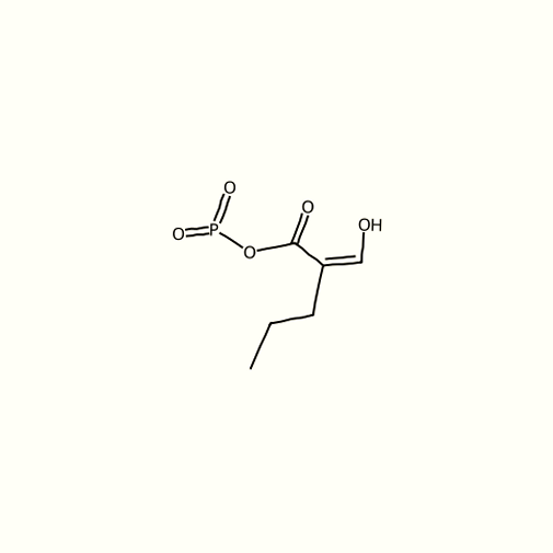 CCCC(=CO)C(=O)OP(=O)=O